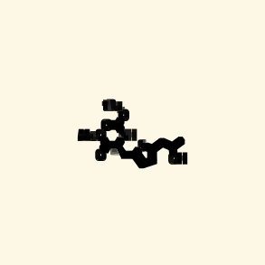 COC(=O)[C@H](Cc1ccc(CC(C)O)s1)NC(=O)OC(C)(C)C